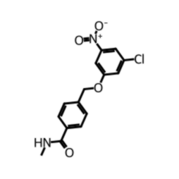 CNC(=O)c1ccc(COc2cc(Cl)cc([N+](=O)[O-])c2)cc1